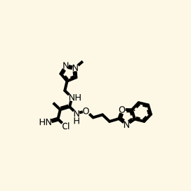 C/C(C(=N)Cl)=C(\NCc1cnn(C)c1)NOCCCc1nc2ccccc2o1